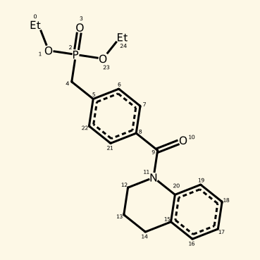 CCOP(=O)(Cc1ccc(C(=O)N2CCCc3ccccc32)cc1)OCC